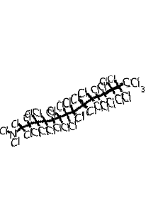 ClN(Cl)C(Cl)(Cl)C(Cl)(Cl)C(Cl)(Cl)C(Cl)(Cl)C(Cl)(Cl)C(Cl)(Cl)C(Cl)(Cl)C(Cl)(Cl)C(Cl)(Cl)C(Cl)(Cl)C(Cl)(Cl)C(Cl)(Cl)C(Cl)(Cl)C(Cl)(Cl)C(Cl)(Cl)Cl